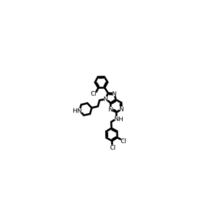 Clc1ccc(CNc2ncc3nc(-c4ccccc4Cl)n(CCC4CCNCC4)c3n2)cc1Cl